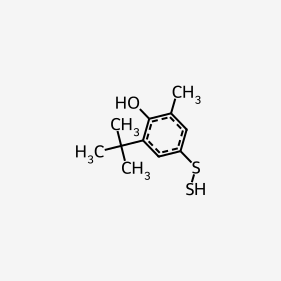 Cc1cc(SS)cc(C(C)(C)C)c1O